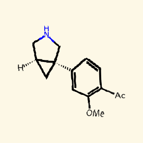 COc1cc([C@@]23CNC[C@@H]2C3)ccc1C(C)=O